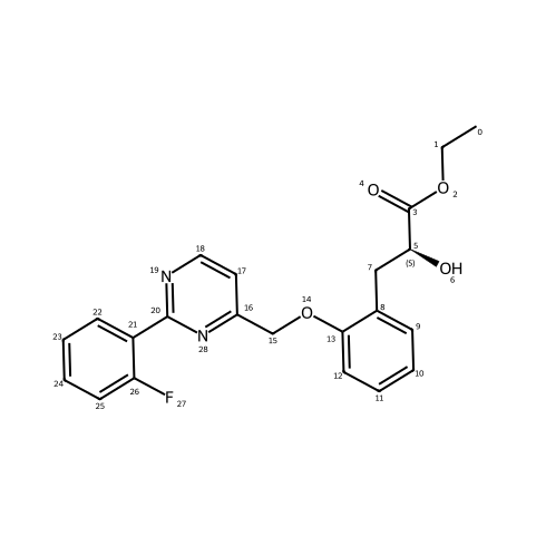 CCOC(=O)[C@@H](O)Cc1ccccc1OCc1ccnc(-c2ccccc2F)n1